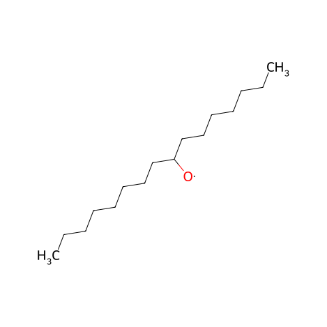 CCCCCCCCC([O])CCCCCCC